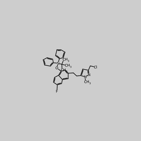 Cn1nc(CCl)cc1CCc1cc(O[Si](c2ccccc2)(c2ccccc2)C(C)(C)C)c2ccc(F)cc2c1